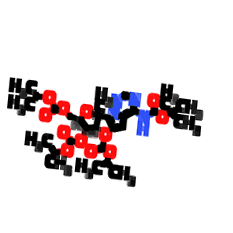 CC(C)OC(=O)OC[C@H]1O[C@@](C)(c2ccc3c(NC(=O)OC(C)(C)C)ncnn23)[C@H](OC(=O)OC(C)C)[C@@H]1OC(=O)OC(C)C